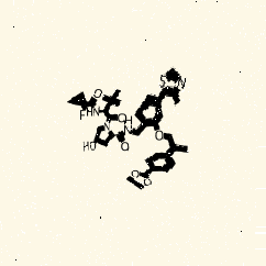 Cc1ncsc1-c1ccc(CNC(=O)[C@@H]2C[C@@H](O)CN2C(=O)[C@@H](NC(=O)C2(F)CC2)C(C)(C)C)c(OCC(C)c2ccc(C3OCCO3)cc2)c1